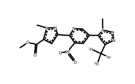 [2H]C([2H])([2H])c1nnn(C)c1-c1cnc(-c2cc(C(=O)OC)n(C)n2)c([N+](=O)[O-])c1